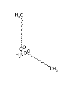 CCCCCCCCCCCCCCCCCC(=O)OC(CN)COC(=O)CCCCCCCCCCCCCCC